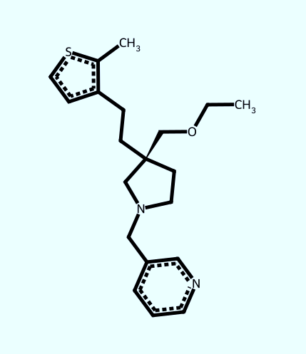 CCOC[C@@]1(CCc2ccsc2C)CCN(Cc2cccnc2)C1